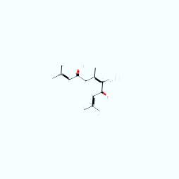 CC(C)=CC(=O)C/C(C)=C(/[C]=O)C(=O)C=C(C)C